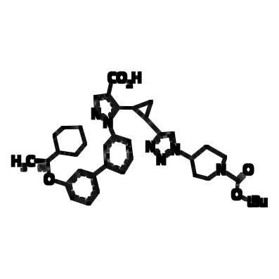 C[C@H](Oc1cccc(-c2cccc(-n3ncc(C(=O)O)c3C3CC3c3cn(C4CCN(C(=O)OC(C)(C)C)CC4)nn3)c2)c1)C1CCCCC1